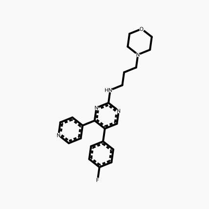 Fc1ccc(-c2cnc(NCCCN3CCOCC3)nc2-c2ccncc2)cc1